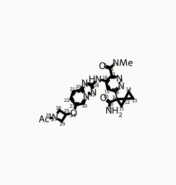 CNC(=O)c1nnc([C@]2(C(N)=O)CC23CC3)cc1Nc1nc2ccc(OC3CN(C(C)=O)C3)cn2n1